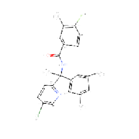 Cc1cc(C(F)(F)F)cc(C(C)(NC(=O)c2ccc(F)c(C(F)(F)F)c2)c2ccc(Cl)cn2)c1